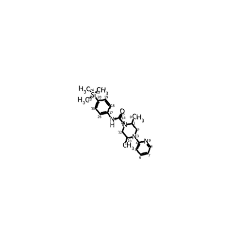 CC1CN(c2ccccn2)C(C)CN1C(=O)Nc1ccc([Si](C)(C)C)cc1